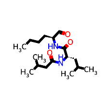 CCCC[C@@H](C=O)NC(=O)[C@H](CC(C)C)NC(=O)CC(C)C